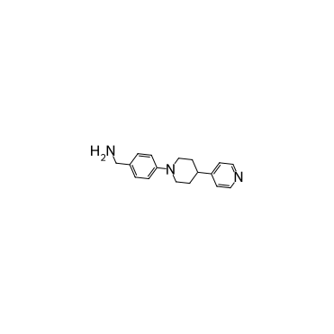 NCc1ccc(N2CCC(c3ccncc3)CC2)cc1